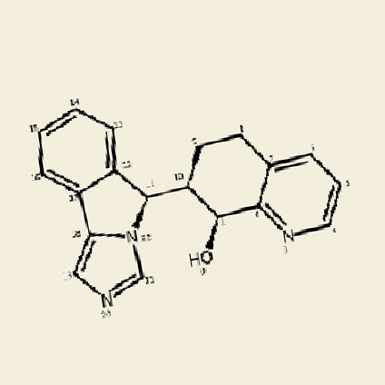 O[C@@H]1c2ncccc2CC[C@@H]1[C@@H]1c2ccccc2-c2cncn21